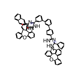 N=C(/N=C(\Nn1c2cccc3oc4ccccc4c4cccc1c4c32)c1ccccc1)c1ccc(-c2cccc(-c3cccc(/C(=N/C(=N)c4ccc5ccccc5c4)Nn4c5cccc6oc7ccccc7c7cccc4c7c65)c3)c2)cc1